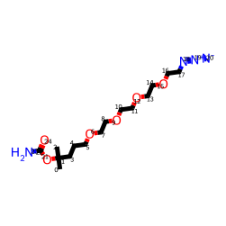 CC(C)(CCCOCCOCCOCCOCCN=[N+]=[N-])OC(N)=O